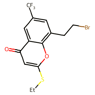 CCSc1cc(=O)c2cc(C(F)(F)F)cc(CCBr)c2o1